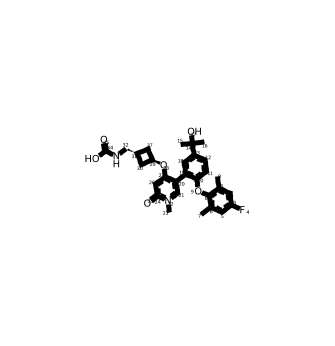 Cc1cc(F)cc(C)c1Oc1ccc(C(C)(C)O)cc1-c1cn(C)c(=O)cc1O[C@H]1C[C@H](CNC(=O)O)C1